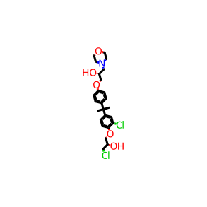 CC(C)(c1ccc(OC[C@H](O)CN2CCOCC2)cc1)c1ccc(OC[C@@H](O)CCl)c(Cl)c1